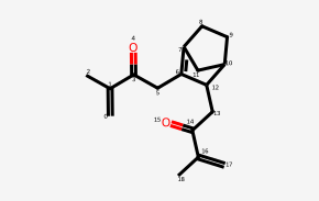 C=C(C)C(=O)CC1=C2CCC(C2)C1CC(=O)C(=C)C